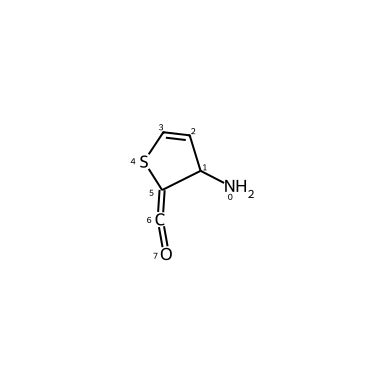 NC1C=CSC1=C=O